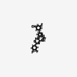 CC(C)N/C(=N/C(=O)c1ccc(F)c(F)c1)Nc1cc(-c2cc(F)cc(Cl)c2)n[nH]1